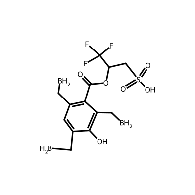 BCc1cc(CB)c(C(=O)OC(CS(=O)(=O)O)C(F)(F)F)c(CB)c1O